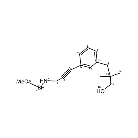 COBNCC#Cc1cccc(CC(C)(C)CO)c1